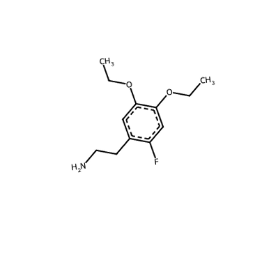 CCOc1cc(F)c(CCN)cc1OCC